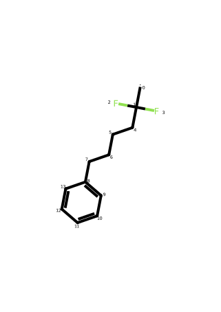 [CH2]C(F)(F)CCCCc1ccccc1